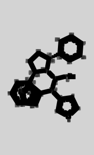 CCCCN(P(c1ccoc1)c1ccoc1)P1[C@@H](c2ccccc2)CC[C@@H]1c1ccccc1